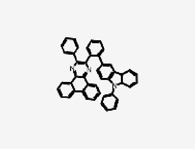 C1=CC2c3cc(-c4ccccc4-c4nc5c6ccccc6c6ccccc6c5nc4-c4ccccc4)ccc3N(c3ccccc3)C2C=C1